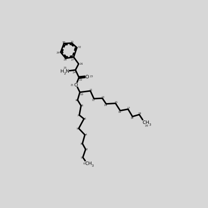 CCCCCCCCCCC(CCCCCCCCCC)OC(=O)C(N)Cc1ccccc1